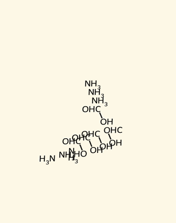 N.N.N.N.N.N.O=CO.O=CO.O=CO.O=CO.O=CO